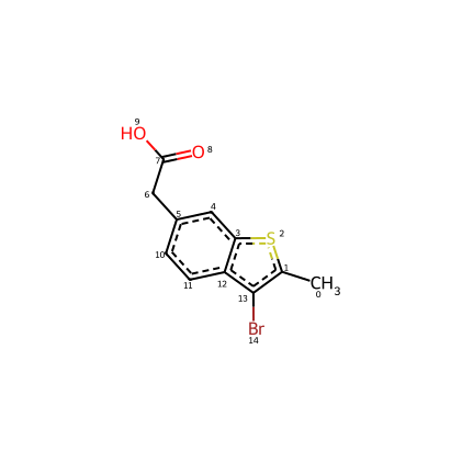 Cc1sc2cc(CC(=O)O)ccc2c1Br